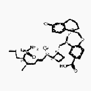 CCC[C@H]([C@H](C)CC=C[C@H](O)[C@@H]1CC[C@H]1CN1C[C@]2(CCCc3cc(Cl)ccc32)COc2ccc(C(=O)O)cc21)S(N)(=O)=O